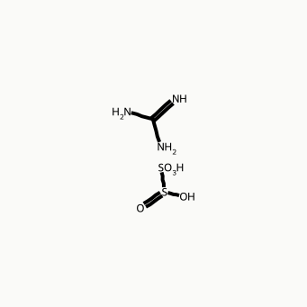 N=C(N)N.O=S(O)S(=O)(=O)O